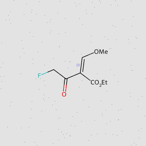 CCOC(=O)/C(=C\OC)C(=O)CF